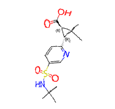 CC(C)(C)NS(=O)(=O)c1ccc([C@@H]2[C@@H](C(=O)O)C2(C)C)nc1